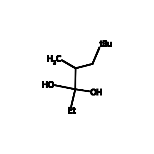 CCC(O)(O)C(C)CC(C)(C)C